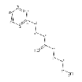 O=C(CCCCCl)CCCc1ccccc1